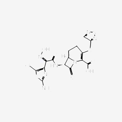 Nc1nc(/C(=N/O)C(=O)N[C@@H]2C(=O)N3C(C(=O)O)=C(Sc4cnsn4)CC[C@H]23)c(Cl)s1